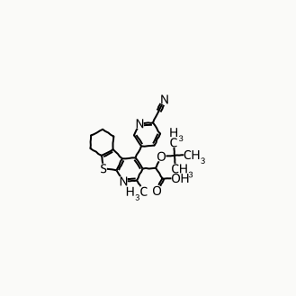 Cc1nc2sc3c(c2c(-c2ccc(C#N)nc2)c1C(OC(C)(C)C)C(=O)O)CCCC3